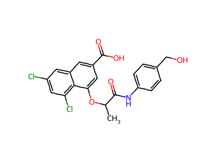 CC(Oc1cc(C(=O)O)cc2cc(Cl)cc(Cl)c12)C(=O)Nc1ccc(CO)cc1